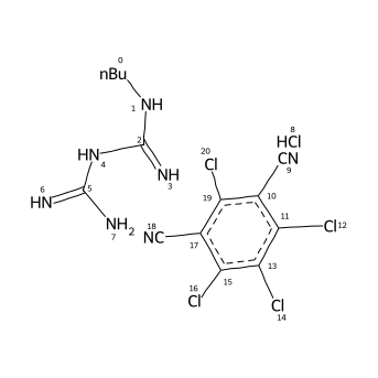 CCCCNC(=N)NC(=N)N.Cl.N#Cc1c(Cl)c(Cl)c(Cl)c(C#N)c1Cl